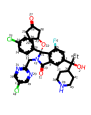 CCC(O)(c1cc(F)c2c(c1)C(=O)N(Cc1ncc(Cl)cn1)[C@@]2(O[C@H]1CCC(=O)C1)c1ccc(Cl)cc1)C1CCNCC1